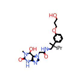 CC(C)[C@](C)(CNC(=O)Cn1cnc2c1C(O)N(C)C(=O)N2)c1cccc(OCCCO)c1